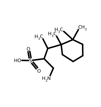 CC(C(CN)S(=O)(=O)O)C1(C)CCCCC1(C)C